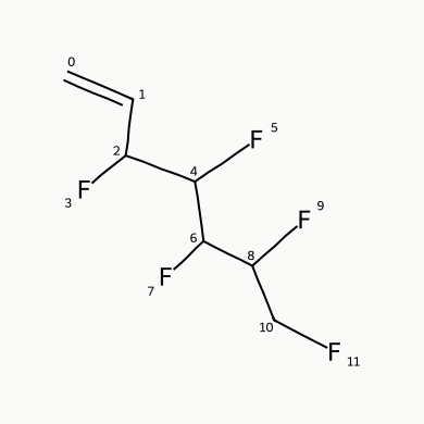 C=CC(F)C(F)C(F)C(F)CF